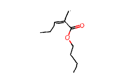 [CH2]C(=CCC)C(=O)OCCCC